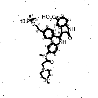 CN1CCN(CC(=O)N(C)c2ccc(N/C(=C3\C(=O)Nc4ccc(C(=O)O)cc43)c3ccc(CCO[Si](C)(C)C(C)(C)C)cc3)cc2)CC1